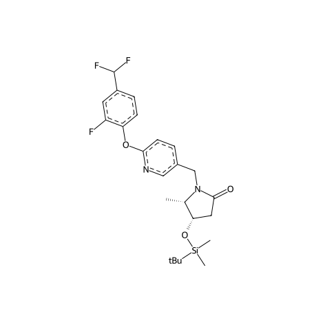 C[C@H]1[C@@H](O[Si](C)(C)C(C)(C)C)CC(=O)N1Cc1ccc(Oc2ccc(C(F)F)cc2F)nc1